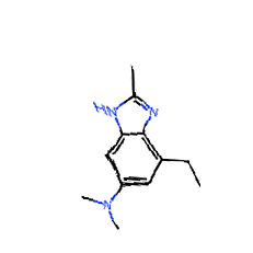 CCc1cc(N(C)C)cc2[nH]c(C)nc12